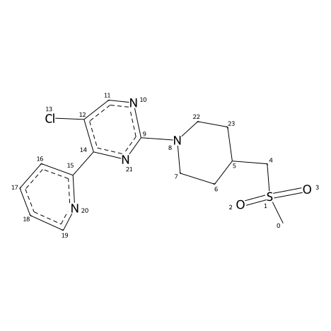 CS(=O)(=O)CC1CCN(c2ncc(Cl)c(-c3ccccn3)n2)CC1